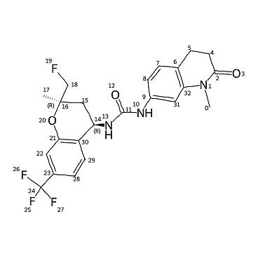 CN1C(=O)CCc2ccc(NC(=O)N[C@@H]3C[C@](C)(CF)Oc4cc(C(F)(F)F)ccc43)cc21